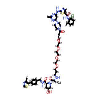 Cc1nc(Nc2ncc(C(=O)Nc3c(C)cccc3Cl)s2)cc(N2CCN(C(=O)CCOCCOCCOCCOCCCNC(C(=O)N3C[C@H](O)C[C@H]3C(=O)NCc3ccc(-c4scnc4C)cc3)C(C)(C)C)CC2)n1